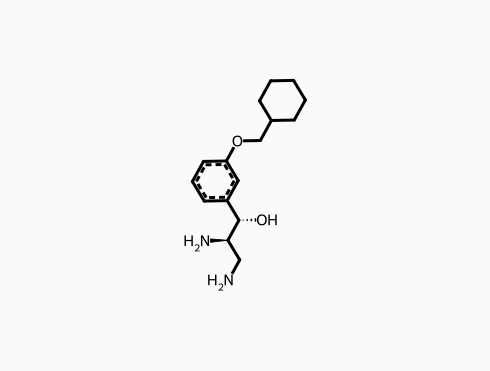 NC[C@@H](N)[C@@H](O)c1cccc(OCC2CCCCC2)c1